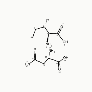 CC[C@H](C)[C@H](N)C(=O)O.NC(=O)C[C@H](N)C(=O)O